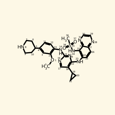 COc1cc(C2CCNCC2)ccc1Nc1ncc(C2CC2)c(Nc2ccc3nccnc3c2NS(C)(=O)=O)n1